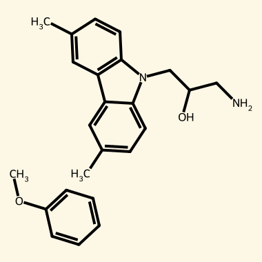 COc1ccccc1.Cc1ccc2c(c1)c1cc(C)ccc1n2CC(O)CN